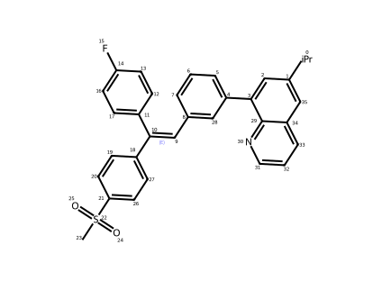 CC(C)c1cc(-c2cccc(/C=C(\c3ccc(F)cc3)c3ccc(S(C)(=O)=O)cc3)c2)c2ncccc2c1